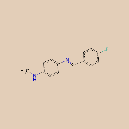 CNc1ccc(N=Cc2ccc(F)cc2)cc1